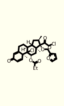 CCC(=O)O[C@H]1C[C@@]2(C)[C@@H](C[C@@H](C)[C@]2(OC(=O)c2ccco2)C(=O)CCl)[C@@H]2CCC3=CC(=O)C=C[C@]3(C)C12Cl